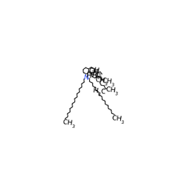 CCCCCCCCCCCCCCCCCCN(CCCCCCCCCCCCCCCCCC)C1CCCC2CC[C@@H]3[C@H](CC[C@]4(C)[C@@H]([C@H](C)CCCC(C)C)CC[C@@H]34)[C@]21C